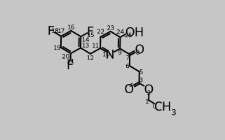 CCOC(=O)CCC(=O)c1nc(Cc2c(F)cc(F)cc2F)ccc1O